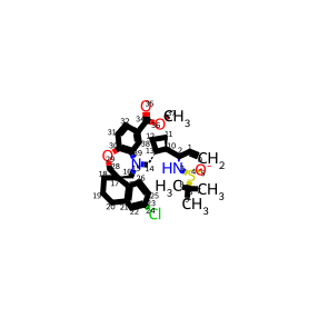 C=C[C@H](N[S@+]([O-])C(C)(C)C)[C@@H]1CC[C@H]1CN1C[C@@]2(CCCc3cc(Cl)ccc32)COc2ccc(C(=O)OC)cc21